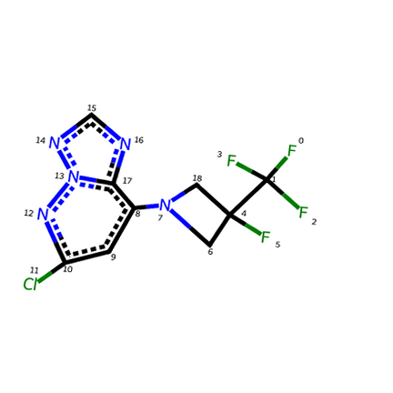 FC(F)(F)C1(F)CN(c2cc(Cl)nn3ncnc23)C1